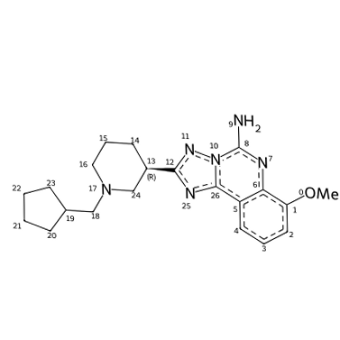 COc1cccc2c1nc(N)n1nc([C@@H]3CCCN(CC4CCCC4)C3)nc21